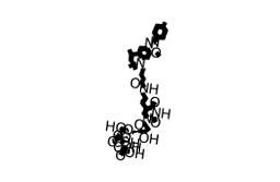 COc1cc2c(cc1/N=N/c1ccc(C)cc1)C(C)=CC(C)(C)N2CCCC(=O)NC/C=C/c1cn([C@H]2CC(O)[C@@H](COP(=O)(O)OP(=O)(O)OP(=O)(O)O)O2)c(=O)[nH]c1=O